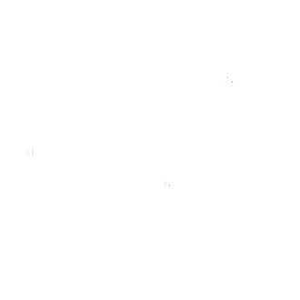 COc1ccc2c(C3CCN(C)C3)c3n(c2c1)S(=O)(=O)c1ccccc1-3